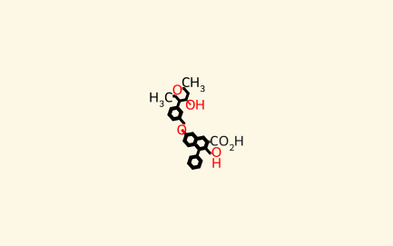 CC1C[C@@H](O)C(c2cccc(COc3ccc4c(-c5ccccc5)c(CO)c(C(=O)O)cc4c3)c2)C(C)O1